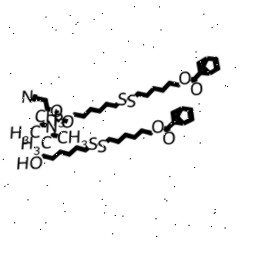 CC(C)N(C(C)C)P(OCCC#N)OCCCCCCSSCCCCCCOC(=O)C1CC2C=CC1C2.O=C(OCCCCCCSSCCCCCCO)C1CC2C=CC1C2